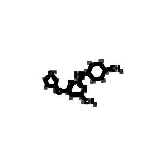 Cc1cc(OC2CCOC2)nc(NC2CCC(C)CC2)n1